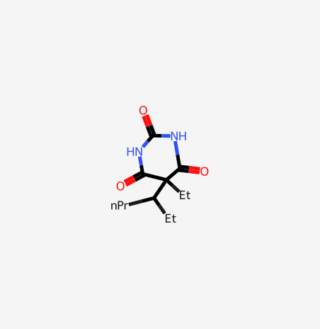 CCCC(CC)C1(CC)C(=O)NC(=O)NC1=O